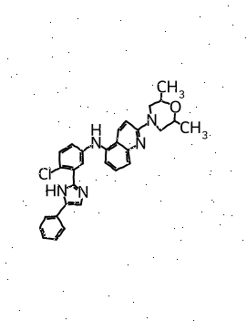 CC1CN(c2ccc3c(Nc4ccc(Cl)c(-c5ncc(-c6ccccc6)[nH]5)c4)cccc3n2)CC(C)O1